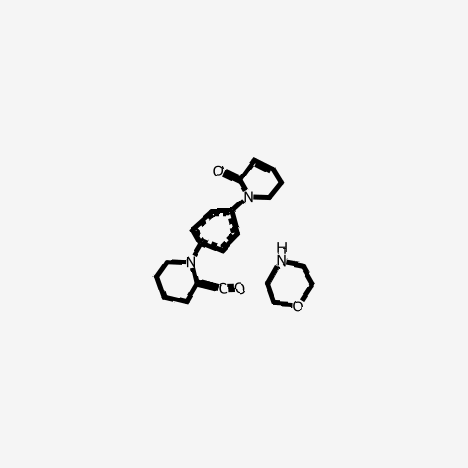 C1COCCN1.O=C=C1CCCCN1c1ccc(N2CCC=CC2=O)cc1